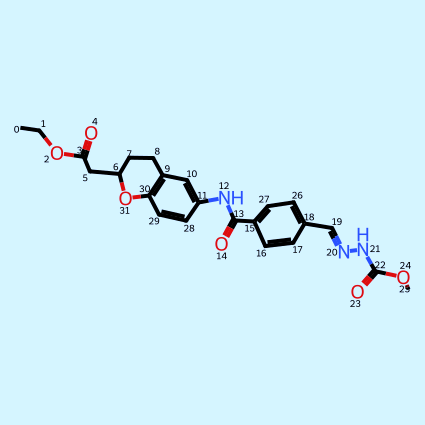 CCOC(=O)CC1CCc2cc(NC(=O)c3ccc(C=NNC(=O)OC)cc3)ccc2O1